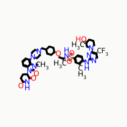 Cc1cc(S(=O)(=O)N[C@H](C)COC2CCC(CN3CCN(c4cccc5c4n(C)c(=O)n5C4CCC(=O)NC4=O)CC3)CC2)ccc1Nc1ncc(C(F)(F)F)c(N2CCC[C@](C)(O)C2)n1